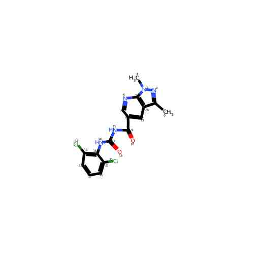 Cc1nn(C)c2ncc(C(=O)NC(=O)Nc3c(Cl)cccc3Cl)cc12